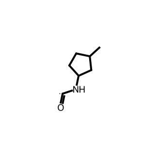 CC1CCC(N[C]=O)C1